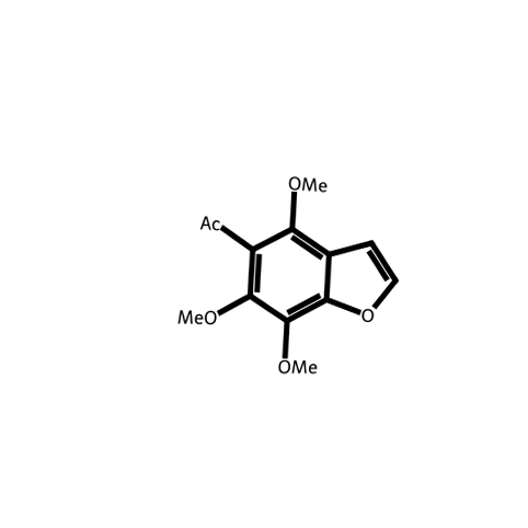 COc1c(C(C)=O)c(OC)c2ccoc2c1OC